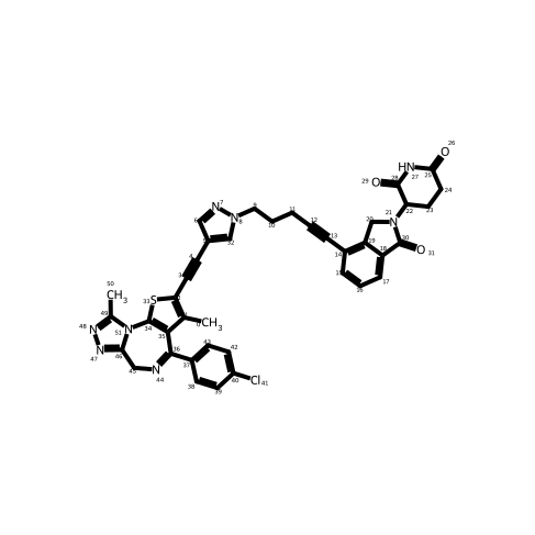 Cc1c(C#Cc2cnn(CCCC#Cc3cccc4c3CN(C3CCC(=O)NC3=O)C4=O)c2)sc2c1C(c1ccc(Cl)cc1)=NCc1nnc(C)n1-2